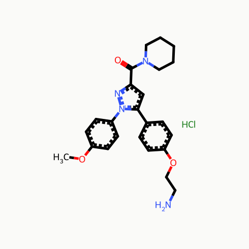 COc1ccc(-n2nc(C(=O)N3CCCCC3)cc2-c2ccc(OCCN)cc2)cc1.Cl